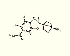 COC(=O)c1c(C)c2c(c(Cl)c1I)OC(C)(C13CCC(N)(CC1)CC3)O2